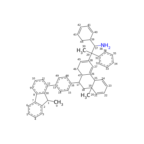 CC1c2ccccc2-c2cccc(-c3ccc(C4CC5(C)C=CC=CC5C5=CC(C(C)(c6ccccc6)C(N)C6C=CC=CC6)=CCC54)cc3)c21